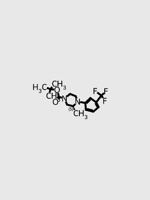 C[C@H]1CN(C(=O)OC(C)(C)C)CCN1c1cccc(C(F)(F)F)c1